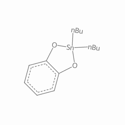 CCC[CH2][Sn]1([CH2]CCC)[O]c2ccccc2[O]1